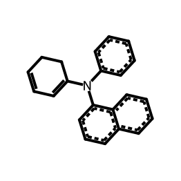 C1=CCCC(N(c2ccccc2)c2cccc3ccccc23)=C1